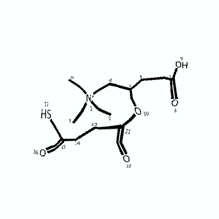 C[N+](C)(C)CC(CC(=O)O)OC(=O)CCC(=O)S